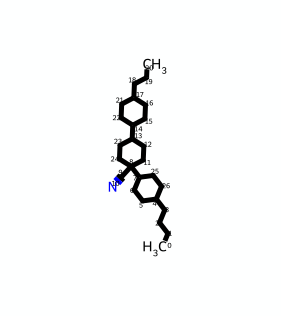 CCCCC1CCC(C2(C#N)CCC(C3CCC(CCC)CC3)CC2)CC1